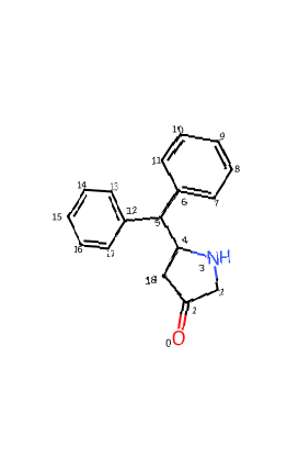 O=C1CNC(C(c2ccccc2)c2ccccc2)C1